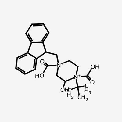 CC(C)(C)[N+]1(C(=O)O)CC[N+](CC2c3ccccc3-c3ccccc32)(C(=O)O)CC1O